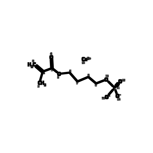 C=C(C)C(=O)OCCCCOP(=O)([O-])[O-].[Ca+2]